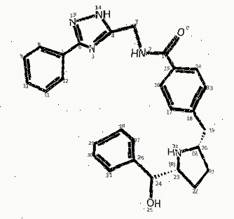 O=C(NCc1nc(-c2ccccc2)n[nH]1)c1ccc(C[C@@H]2CC[C@H](C(O)c3ccccc3)N2)cc1